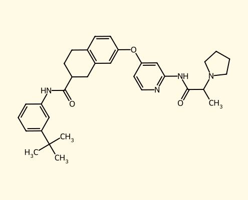 CC(C(=O)Nc1cc(Oc2ccc3c(c2)CC(C(=O)Nc2cccc(C(C)(C)C)c2)CC3)ccn1)N1CCCC1